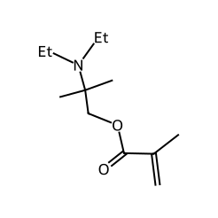 C=C(C)C(=O)OCC(C)(C)N(CC)CC